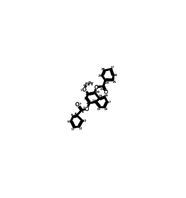 CCCOc1cc(OC(=O)c2ccccc2)c2ccccc2c1OC(=O)c1ccccc1